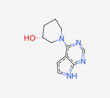 O[C@@H]1CCCN(c2ncnc3[nH]ccc23)C1